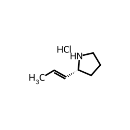 CC=C[C@H]1CCCN1.Cl